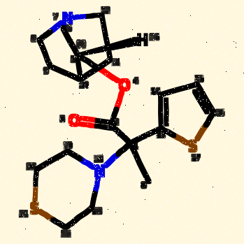 CC(C(=O)O[C@H]1CN2CCC1CC2)(c1cccs1)N1CCSCC1